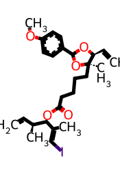 C=C[C@@H]1OC(c2ccc(OC)cc2)O[C@]1(C)CCCCC(=O)O[C@H](/C(C)=C/I)[C@@H](C)C=C